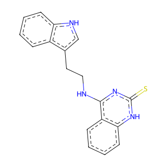 S=c1nc(NCCc2c[nH]c3ccccc23)c2ccccc2[nH]1